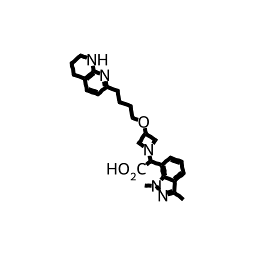 Cc1nn(C)c2c(C(C(=O)O)N3CC(OCCCCc4ccc5c(n4)NCCC5)C3)cccc12